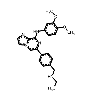 CCNCc1ccc(-c2cn3ccnc3c(Nc3ccc(OC)c(OC)c3)n2)cc1